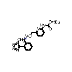 Cn1nnnc1-c1ccccc1/C=N\OCc1cccc(NC(=O)OC(C)(C)C)n1